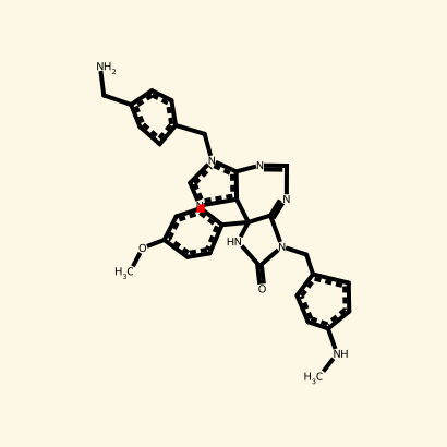 CNc1ccc(CN2C(=O)NC3(c4ccc(OC)cc4)C2=NC=Nc2c3ncn2Cc2ccc(CN)cc2)cc1